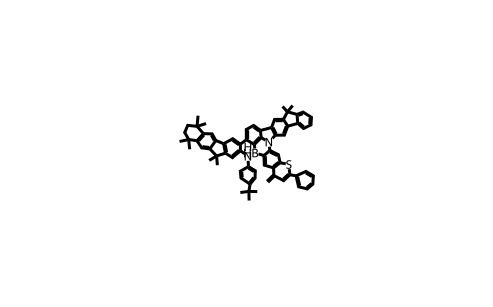 C=C1C=C(c2ccccc2)Sc2cc3c(cc21)Bc1c(-c2cc4c(cc2Nc2ccc(C(C)(C)C)cc2)C(C)(C)c2cc5c(cc2-4)C(C)(C)CCC5(C)C)ccc2c4cc5c(cc4n-3c12)-c1ccccc1C5(C)C